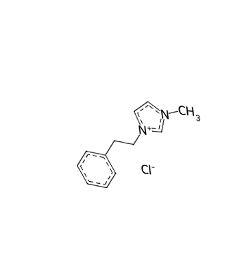 Cn1cc[n+](CCc2ccccc2)c1.[Cl-]